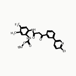 CCc1ccc(-c2cccc(C(=O)CC(=O)Nc3cc(C(F)(F)F)c(C)cc3NC(=O)OC(C)(C)C)c2)cn1